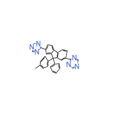 Cc1ccc(C2(c3ccccc3)c3cc(-c4ncncn4)ccc3-c3ccc(-c4ncncn4)cc32)cc1